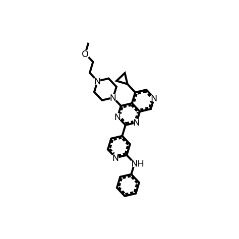 COCCN1CCN(c2nc(-c3ccnc(Nc4ccccc4)c3)nc3cncc(C4CC4)c23)CC1